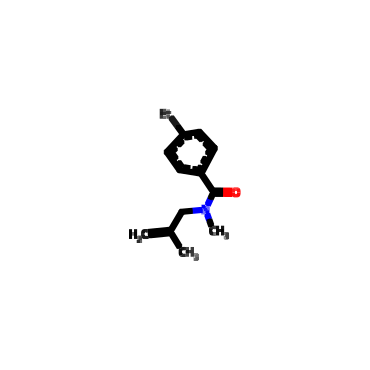 C=C(C)CN(C)C(=O)c1ccc(CC)cc1